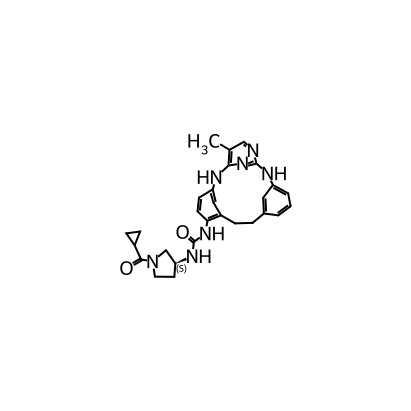 Cc1cnc2nc1Nc1ccc(NC(=O)N[C@H]3CCN(C(=O)C4CC4)C3)c(c1)CCc1cccc(c1)N2